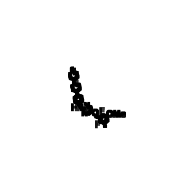 COc1cc(C)c(F)c(COc2cnc(Nc3ccc(C4CCN(C5CCN(C)CC5)CC4)cc3)nc2)c1F